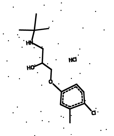 Cc1cc(OCC(O)CNC(C)(C)C)ccc1Cl.Cl